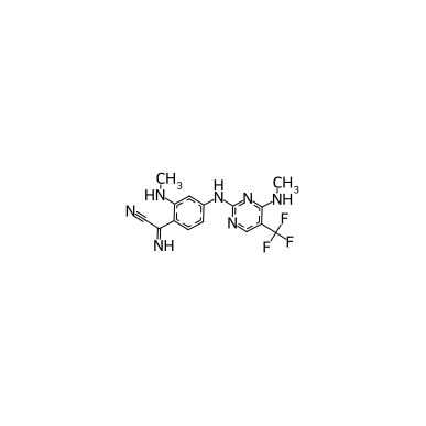 CNc1cc(Nc2ncc(C(F)(F)F)c(NC)n2)ccc1C(=N)C#N